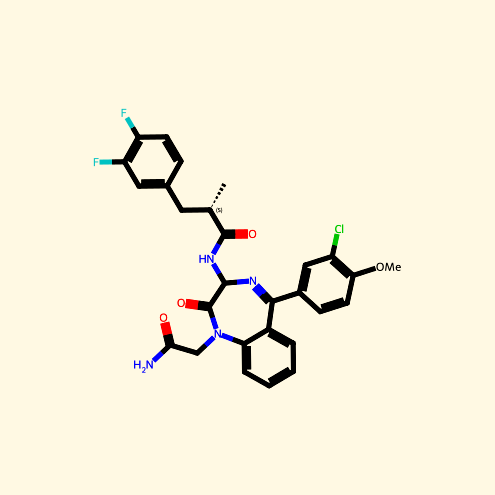 COc1ccc(C2=NC(NC(=O)[C@@H](C)Cc3ccc(F)c(F)c3)C(=O)N(CC(N)=O)c3ccccc32)cc1Cl